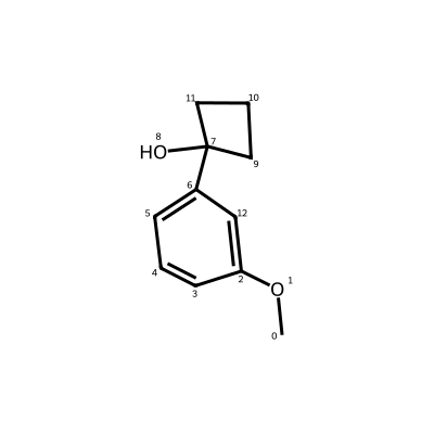 COc1cccc(C2(O)CCC2)c1